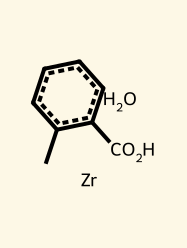 Cc1ccccc1C(=O)O.O.[Zr]